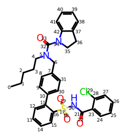 CCCCCN(Cc1ccc(-c2ccccc2S(=O)(=O)NC(=O)c2ccccc2Cl)cc1)C(=O)N1CCc2ccccc21